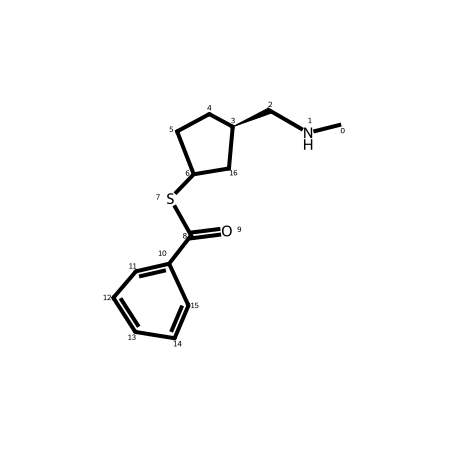 CNC[C@@H]1CCC(SC(=O)c2ccccc2)C1